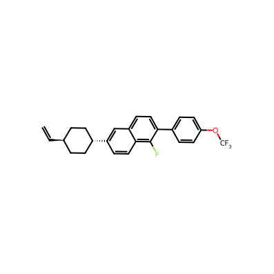 C=C[C@H]1CC[C@H](c2ccc3c(F)c(-c4ccc(OC(F)(F)F)cc4)ccc3c2)CC1